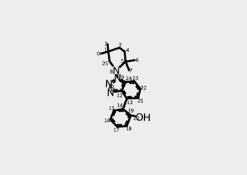 CC1(C)CCC(C)(C)N(n2nnc3c(-c4ccccc4O)cccc32)C1